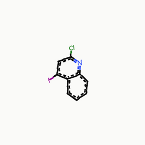 Clc1cc(I)c2ccccc2n1